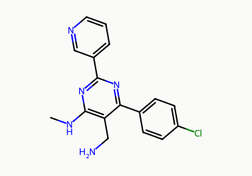 CNc1nc(-c2cccnc2)nc(-c2ccc(Cl)cc2)c1CN